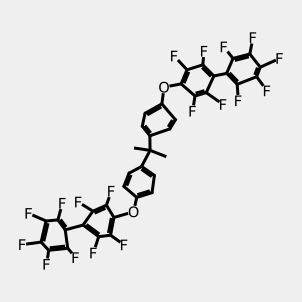 CC(C)(c1ccc(Oc2c(F)c(F)c(-c3c(F)c(F)c(F)c(F)c3F)c(F)c2F)cc1)c1ccc(Oc2c(F)c(F)c(-c3c(F)c(F)c(F)c(F)c3F)c(F)c2F)cc1